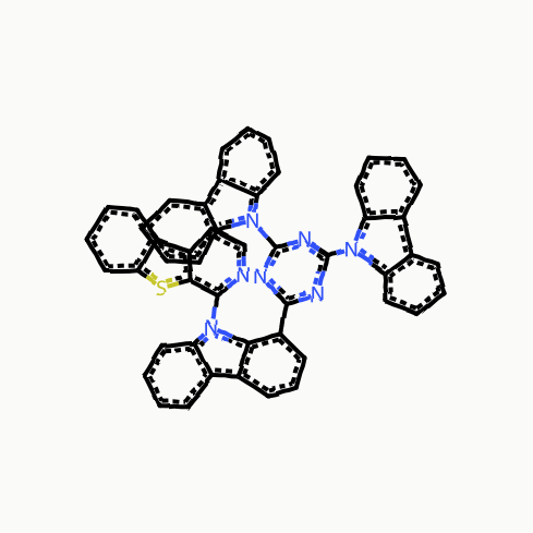 c1ccc2c(c1)sc1c(-n3c4ccccc4c4cccc(-c5nc(-n6c7ccccc7c7ccccc76)nc(-n6c7ccccc7c7ccccc76)n5)c43)nccc12